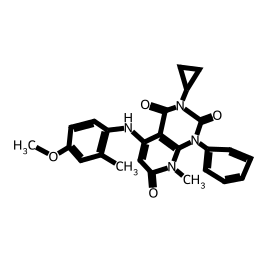 COc1ccc(Nc2cc(=O)n(C)c3c2c(=O)n(C2CC2)c(=O)n3-c2ccccc2)c(C)c1